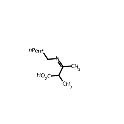 CCCCCC/N=C(/C)C(C)C(=O)O